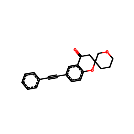 O=C1CC2(CCCOC2)Oc2ccc(C#Cc3ccccc3)cc21